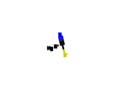 N#C[S-].[Hg].[K+]